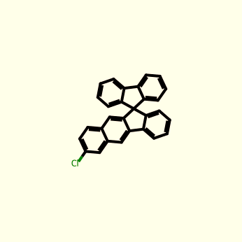 Clc1ccc2cc3c(cc2c1)-c1ccccc1C31c2ccccc2-c2ccccc21